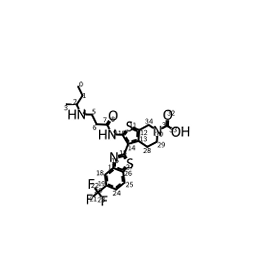 CC[C@H](C)NCCC(=O)Nc1sc2c(c1-c1nc3cc(C(F)(F)F)ccc3s1)CCN(C(=O)O)C2